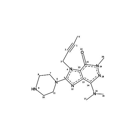 CC#CCn1c(N2CCNCC2)nc2c(N(C)C)nn(C)c(=O)c21